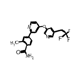 Cc1cc(-c2cc(Oc3cncc(CC(F)(F)F)c3)ccn2)ccc1C(N)=O